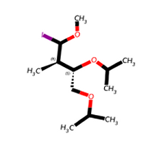 COC(I)[C@H](C)[C@@H](COC(C)C)OC(C)C